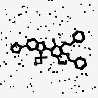 COc1cc(-c2nc3ccc(-n4cccn4)cc3n2C2(C)COC2)c(F)c(OCc2ccccc2)c1OCc1ccccc1